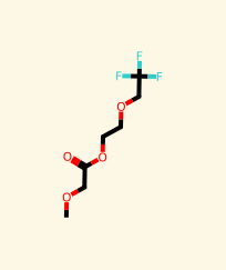 COCC(=O)OCCOCC(F)(F)F